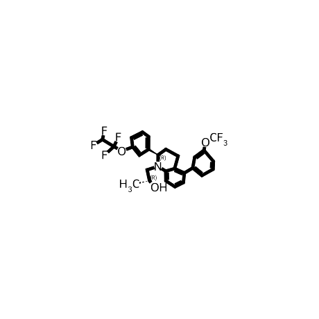 C[C@@H](O)CN1c2cccc(-c3cccc(OC(F)(F)F)c3)c2CC[C@@H]1c1cccc(OC(F)(F)C(F)F)c1